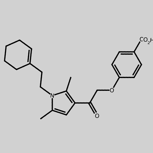 Cc1cc(C(=O)COc2ccc(C(=O)O)cc2)c(C)n1CCC1=CCCCC1